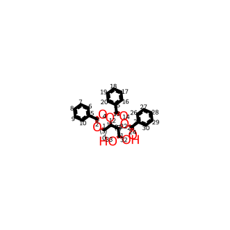 C[C@H](OC(=O)c1ccccc1)C(OC(=O)c1ccccc1)[C@H](OC(=O)c1ccccc1)C(O)O